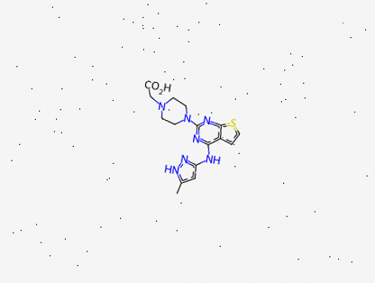 Cc1cc(Nc2nc(N3CCN(CC(=O)O)CC3)nc3sccc23)n[nH]1